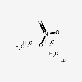 O.O.O.O.O=[N+]([O-])O.[Lu]